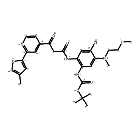 COCCN(C)c1cc(NC(=O)OC(C)(C)C)c(NC(=O)CC(=O)c2ccnc(-c3cc(C)no3)c2)cc1Cl